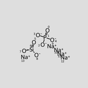 O=P([O-])([O-])[O-].O=[Si]([O-])[O-].[Na+].[Na+].[Na+].[Na+].[Na+]